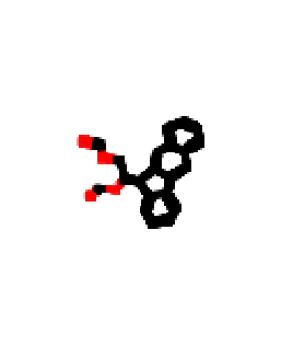 O=COCC(OC=O)C1c2ccccc2-c2cc3ccccc3cc21